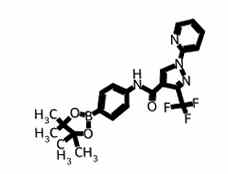 CC1(C)OB(c2ccc(NC(=O)c3cn(-c4ccccn4)nc3C(F)(F)F)cc2)OC1(C)C